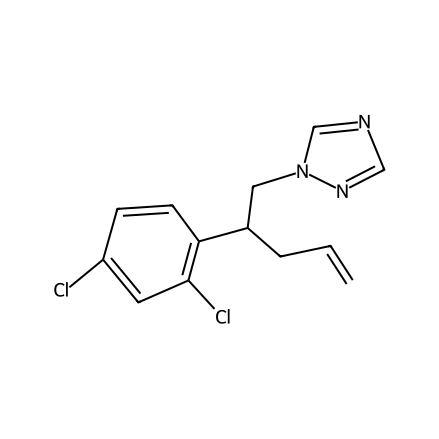 C=CCC(Cn1cncn1)c1ccc(Cl)cc1Cl